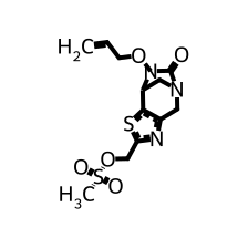 C=CCON1C(=O)N2Cc3nc(COS(C)(=O)=O)sc3C1C2